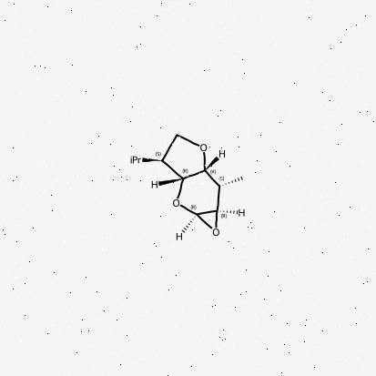 CC(C)[C@H]1CO[C@@H]2[C@H](C)[C@H]3O[C@H]3O[C@@H]21